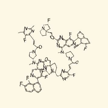 C#Cc1c(F)ccc2cccc(-c3ncc4c(N(C)[C@@H]5CCN(C(=O)/C=C/c6nc(CC7CC[C@@]8(COc9nc(N(C)[C@@H]%10CCN(C(=O)/C=C/c%11nc(C)nc(C)c%11F)C%10)c%10cnc(-c%11cccc%12ccc(F)c(F)c%11%12)c(F)c%10n9)C[C@@H](F)CN78)ncc6F)C5)nc(OC[C@@]56CCCN5C[C@H](F)C6)nc4c3F)c12